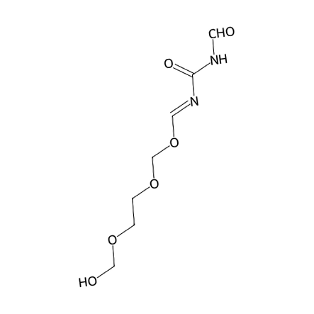 O=CNC(=O)N=COCOCCOCO